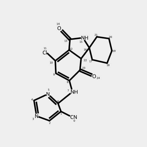 N#Cc1cncnc1NC1=CC(Cl)=C2C(=O)NC3(CCCCC3)C2C1=O